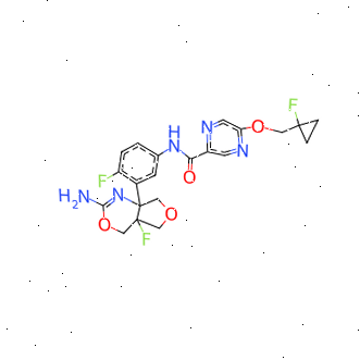 NC1=NC2(c3cc(NC(=O)c4cnc(OCC5(F)CC5)cn4)ccc3F)COCC2(F)CO1